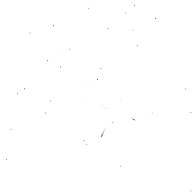 CCOCC(COCC)OC(=O)N1C(=O)[C@@H](O[Si](CC)(CC)CC)[C@H]1c1ccccc1